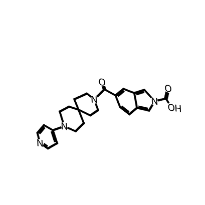 O=C(c1ccc2cn(C(=O)O)cc2c1)N1CCC2(CC1)CCN(c1ccncc1)CC2